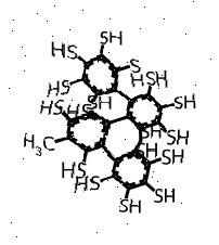 Cc1c(S)c(S)c(-c2c(S)c(S)c(S)c(S)c2-c2c(S)c(S)c(S)c(S)c2S)c(-c2c(S)c(S)c(S)c(S)c2S)c1S